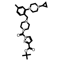 Cc1ccc(CN2CCN(C(=O)n3ccc(C(=O)OC(C)(C)C)n3)CC2)c(N2CCN(C3CC3)CC2)c1